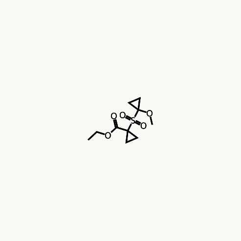 CCOC(=O)C1(S(=O)(=O)C2(OC)CC2)CC1